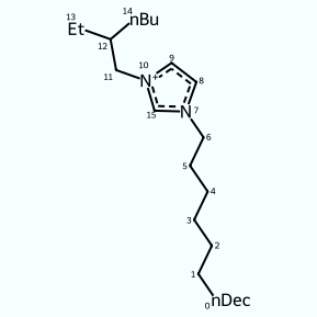 CCCCCCCCCCCCCCCCn1cc[n+](CC(CC)CCCC)c1